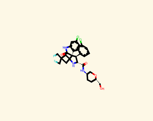 O=C(N[C@@H]1CC[C@@H](CO)OC1)[C@@H]1NC2(CC(CF)(CF)C2)[C@@]2(C(=O)Nc3cc(Cl)ccc32)[C@H]1c1cccc(Cl)c1